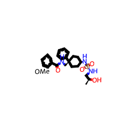 COc1ccccc1C(=O)NC[C@]1(c2ccccc2)CC[C@H](NS(=O)(=O)NC[C@H](C)O)CC1